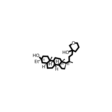 CC[C@]1(O)CC[C@@]2(C)[C@@H](CC[C@@H]3[C@@H]2CC[C@]2(C)[C@@H]([C@H](C)CCC4(O)CCCOC4)CC[C@@H]32)C1